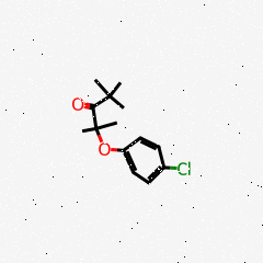 CC(C)(C)C(=O)C(C)(C)Oc1ccc(Cl)cc1